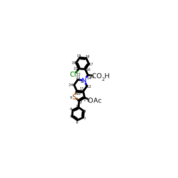 CC(=O)Oc1c(-c2ccccc2)sc2c1CN(C(C(=O)O)c1ccccc1Cl)CC2